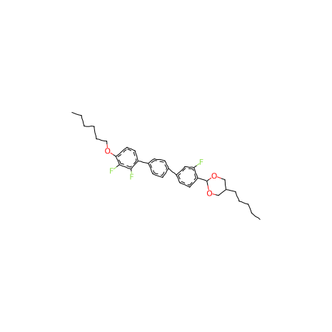 CCCCCCOc1ccc(-c2ccc(-c3ccc(C4OCC(CCCCC)CO4)c(F)c3)cc2)c(F)c1F